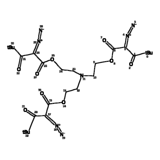 CC(C)(C)C(=O)C(=[N+]=[N-])C(=O)OCCN(CCOC(=O)C(=[N+]=[N-])C(=O)C(C)(C)C)CCOC(=O)C(=[N+]=[N-])C(=O)C(C)(C)C